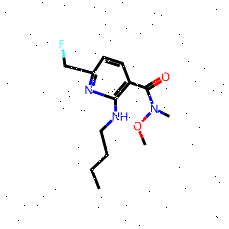 CCCCNc1nc(CF)ccc1C(=O)N(C)OC